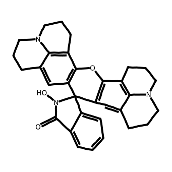 O=C1c2ccccc2C2(c3cc4c5c(c3Oc3c2cc2c6c3CCCN6CCC2)CCCN5CCC4)N1O